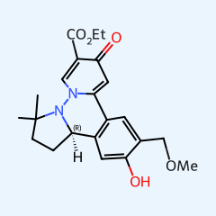 CCOC(=O)c1cn2c(cc1=O)-c1cc(COC)c(O)cc1[C@H]1CCC(C)(C)N12